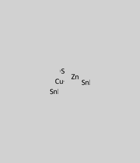 [Cu].[S].[Sn].[Sn].[Zn]